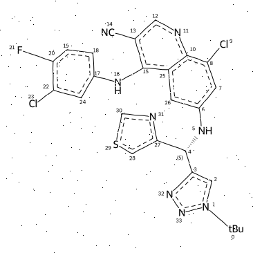 CC(C)(C)n1cc([C@@H](Nc2cc(Cl)c3ncc(C#N)c(Nc4ccc(F)c(Cl)c4)c3c2)c2cscn2)nn1